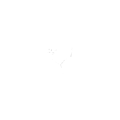 [CH2]CCC(C)C.[MgH2]